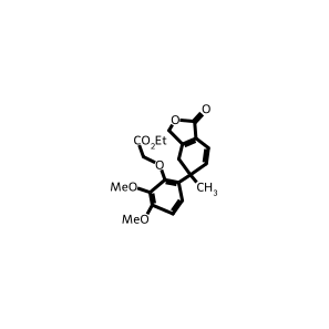 CCOC(=O)COc1c(C2(C)C=CC3=C(COC3=O)C2)ccc(OC)c1OC